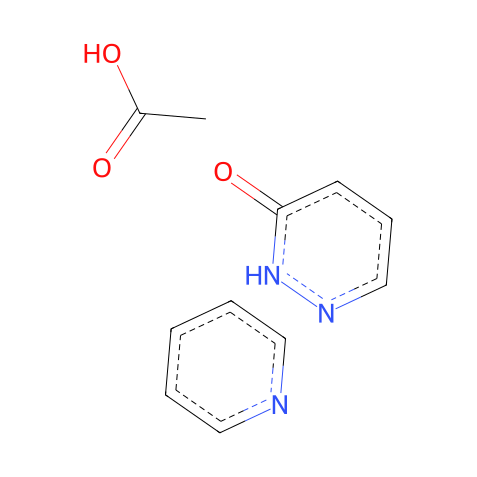 CC(=O)O.O=c1cccn[nH]1.c1ccncc1